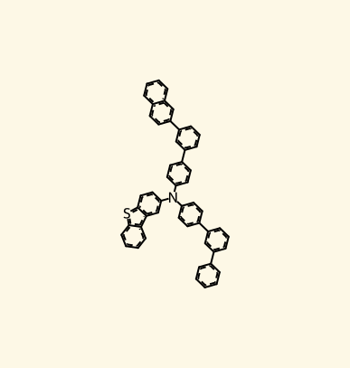 c1ccc(-c2cccc(-c3ccc(N(c4ccc(-c5cccc(-c6ccc7ccccc7c6)c5)cc4)c4ccc5sc6ccccc6c5c4)cc3)c2)cc1